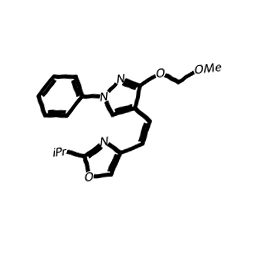 COCOc1nn(-c2ccccc2)cc1/C=C\c1coc(C(C)C)n1